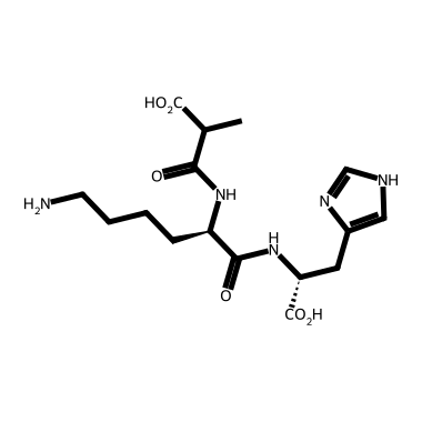 CC(C(=O)O)C(=O)N[C@H](CCCCN)C(=O)N[C@H](Cc1c[nH]cn1)C(=O)O